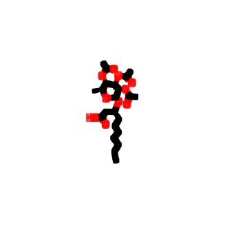 CCCCCCC[C@@H](CC(=O)O)O[C@@H]1O[C@@H](C)[C@H](OC(C)=O)[C@@H](OC(C)=O)[C@H]1OC(C)=O